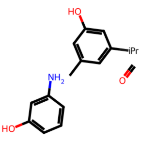 C=O.Cc1cc(O)cc(C(C)C)c1.Nc1cccc(O)c1